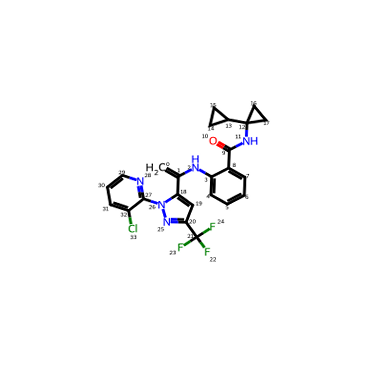 C=C(Nc1ccccc1C(=O)NC1(C2CC2)CC1)c1cc(C(F)(F)F)nn1-c1ncccc1Cl